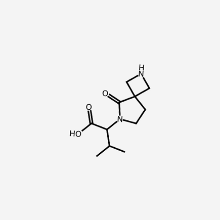 CC(C)C(C(=O)O)N1CCC2(CNC2)C1=O